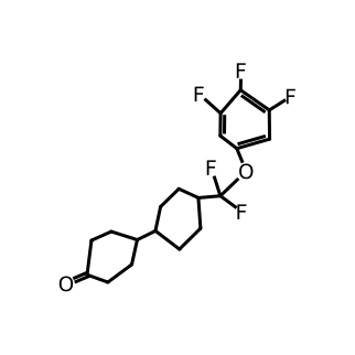 O=C1CCC(C2CCC(C(F)(F)Oc3cc(F)c(F)c(F)c3)CC2)CC1